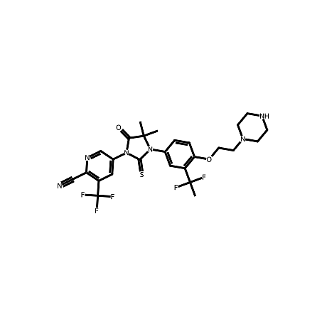 CC(F)(F)c1cc(N2C(=S)N(c3cnc(C#N)c(C(F)(F)F)c3)C(=O)C2(C)C)ccc1OCCN1CCNCC1